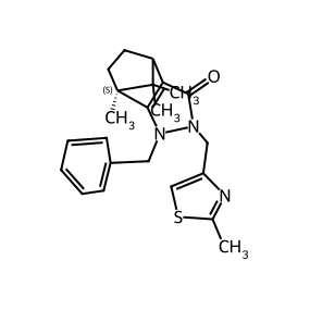 Cc1nc(Cn2c(=O)c3c(n2Cc2ccccc2)[C@@]2(C)CCC3C2(C)C)cs1